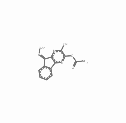 CC(=O)ON=C1c2ccccc2-c2nc(OC(N)=O)c(C#N)nc21